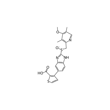 COc1c(C)cnc(C[S+]([O-])c2nc3cc(-c4ccsc4C(=O)O)ccc3[nH]2)c1C